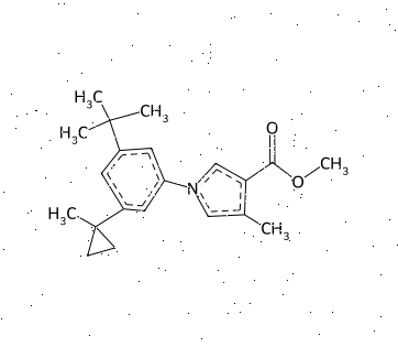 COC(=O)c1cn(-c2cc(C(C)(C)C)cc(C3(C)CC3)c2)cc1C